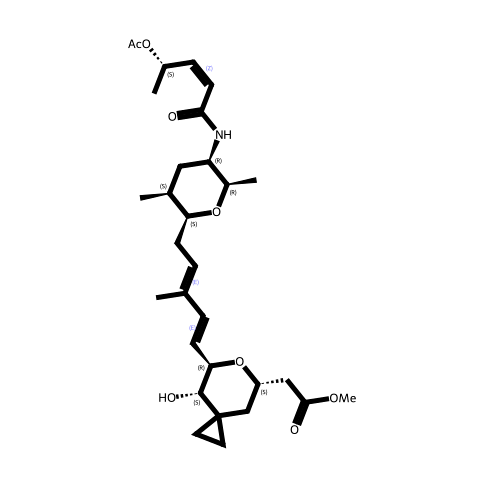 COC(=O)C[C@@H]1CC2(CC2)[C@H](O)[C@@H](/C=C/C(C)=C/C[C@@H]2O[C@H](C)[C@H](NC(=O)/C=C\[C@H](C)OC(C)=O)C[C@@H]2C)O1